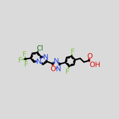 O=C(O)CCc1cc(F)c(-c2noc(-c3cn4cc(C(F)(F)F)cc(Cl)c4n3)n2)cc1F